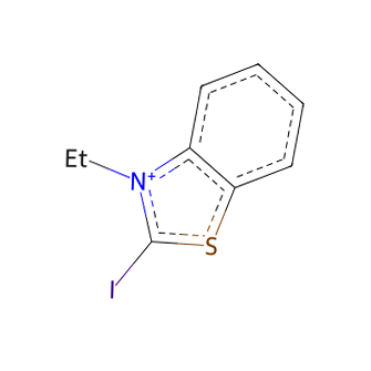 CC[n+]1c(I)sc2ccccc21